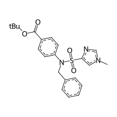 Cn1cnc(S(=O)(=O)N(Cc2ccccc2)c2ccc(C(=O)OC(C)(C)C)cc2)c1